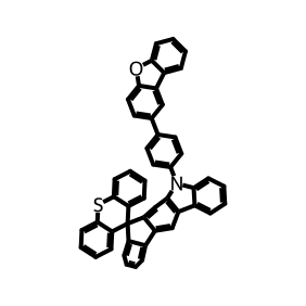 c1ccc2c(c1)Sc1ccccc1C21c2ccccc2-c2cc3c4ccccc4n(-c4ccc(-c5ccc6oc7ccccc7c6c5)cc4)c3cc21